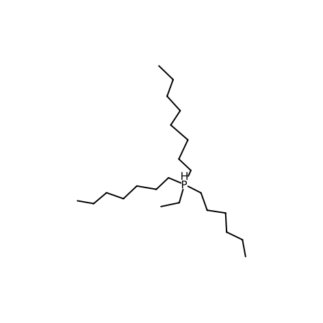 CCCCCCCC[PH](CC)(CCCCCC)CCCCCCC